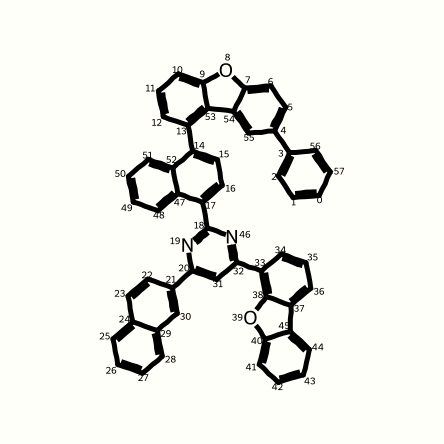 c1ccc(-c2ccc3oc4cccc(-c5ccc(-c6nc(-c7ccc8ccccc8c7)cc(-c7cccc8c7oc7ccccc78)n6)c6ccccc56)c4c3c2)cc1